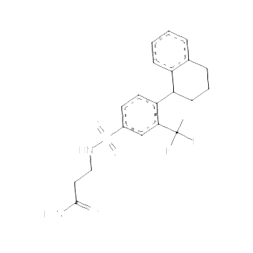 NC(=O)CCNS(=O)(=O)c1ccc(C2CCCc3ccccc32)c(C(F)(F)F)c1